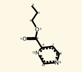 CCCOC(=O)c1ccncn1